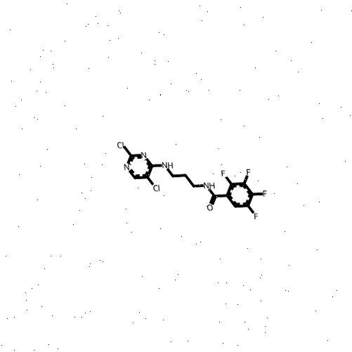 O=C(NCCCNc1nc(Cl)ncc1Cl)c1cc(F)c(F)c(F)c1F